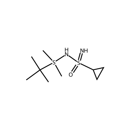 CC(C)(C)S(C)(C)NS(=N)(=O)C1CC1